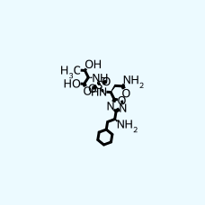 CC(O)[C@H](NS(=O)(=O)N[C@@H](CC(N)=O)c1nc([C@@H](N)CC2CCCCC2)no1)C(=O)O